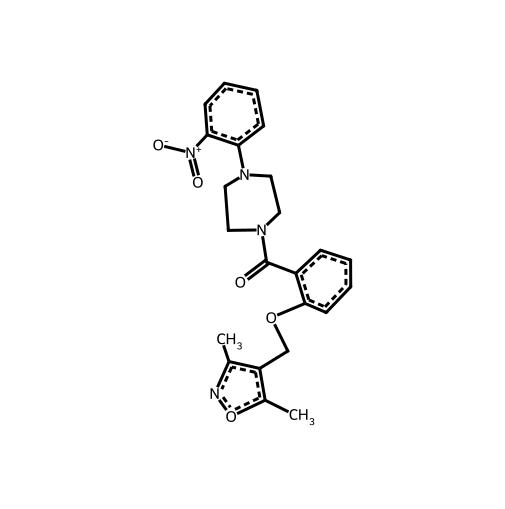 Cc1noc(C)c1COc1ccccc1C(=O)N1CCN(c2ccccc2[N+](=O)[O-])CC1